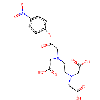 O=C(O)CN(CCN(CC(=O)O)CC(=O)Oc1ccc([N+](=O)[O-])cc1)CC(=O)O